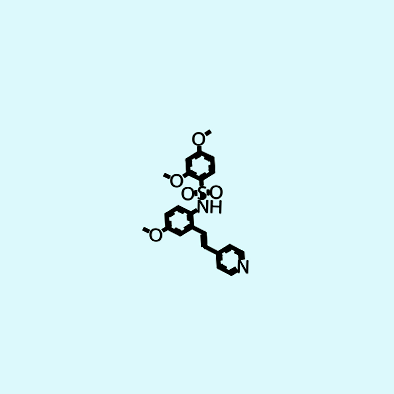 COc1ccc(NS(=O)(=O)c2ccc(OC)cc2OC)c(C=Cc2ccncc2)c1